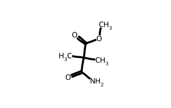 COC(=O)C(C)(C)C(N)=O